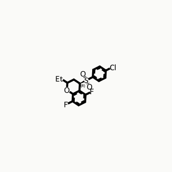 CCC1C[C@@H](S(=O)(=O)c2ccc(Cl)cc2)c2c(F)ccc(F)c2O1